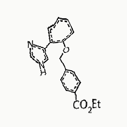 CCOC(=O)c1ccc(COc2ccccc2-c2c[nH]cn2)cc1